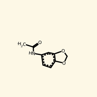 [CH2]C(=O)Nc1ccc2c(c1)OCO2